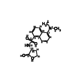 CN(C)c1cccc2c(S(=O)(=O)N[C@@H]3CCOC3=O)cccc12